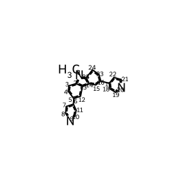 Cn1c2ccc(-c3ccncc3)cc2c2cc(-c3ccncc3)ccc21